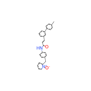 Cc1ccc(-c2cccc(C=CC(=O)Nc3ccc(Cc4cccc[n+]4[O-])cc3)c2)cc1